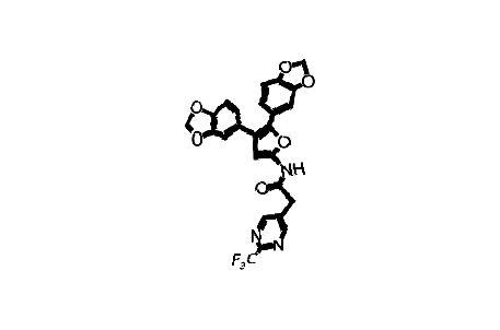 O=C(Cc1cnc(C(F)(F)F)nc1)Nc1cc(-c2ccc3c(c2)OCO3)c(-c2ccc3c(c2)OCO3)o1